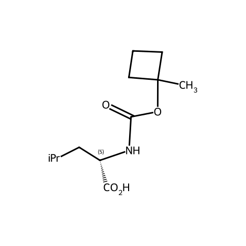 CC(C)C[C@H](NC(=O)OC1(C)CCC1)C(=O)O